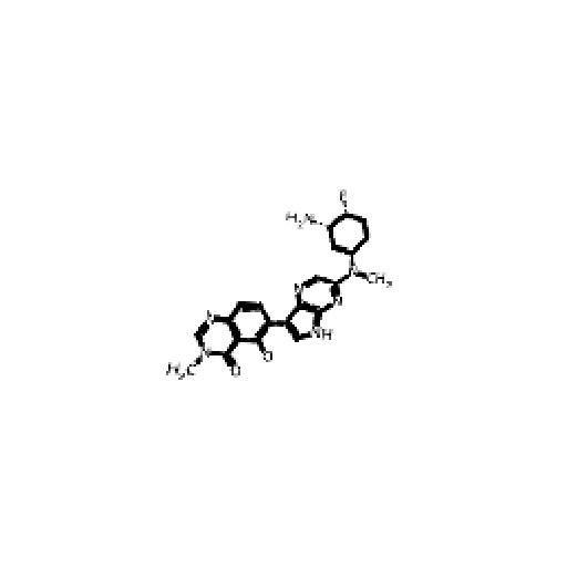 CN(c1cnc2c(-c3ccc4ncn(C)c(=O)c4c3Cl)c[nH]c2n1)[C@@H]1CC[C@@H](F)[C@@H](N)C1